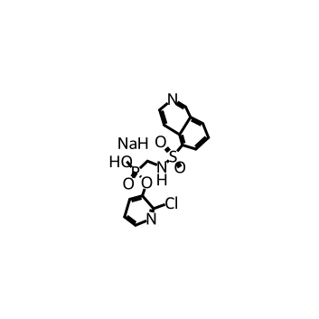 O=P(O)(CNS(=O)(=O)c1cccc2cnccc12)Oc1cccnc1Cl.[NaH]